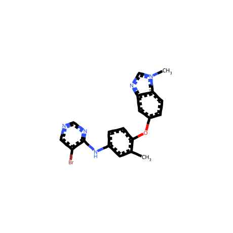 Cc1cc(Nc2ncncc2Br)ccc1Oc1ccc2c(c1)ncn2C